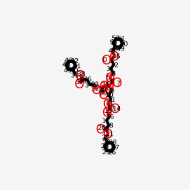 O=C(CCCOC(=O)OCC(COC(=O)OCCCC(=O)OCc1ccccc1)OC(=O)OCCCC(=O)OCc1ccccc1)OCc1ccccc1